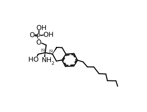 CCCCCCCCc1ccc2c(c1)CC[C@H]([C@](N)(CO)COP(=O)(O)O)C2